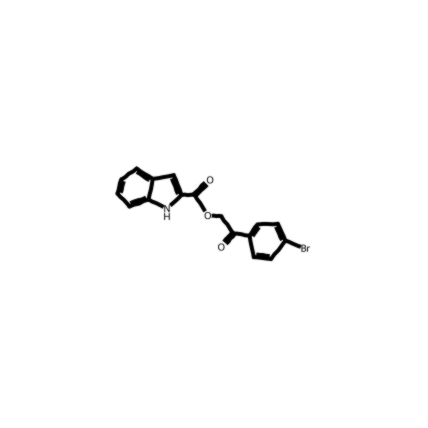 O=C(COC(=O)c1cc2ccccc2[nH]1)c1ccc(Br)cc1